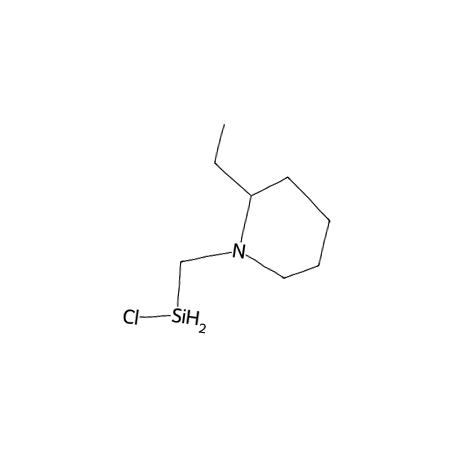 CCC1CCCCN1C[SiH2]Cl